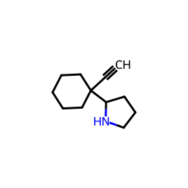 C#CC1(C2CCCN2)CCCCC1